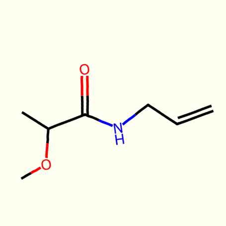 C=CCNC(=O)C(C)OC